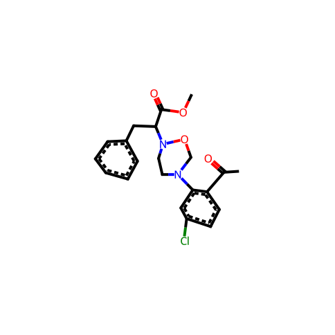 COC(=O)C(Cc1ccccc1)N1CCN(c2cc(Cl)ccc2C(C)=O)CO1